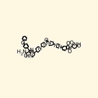 NC(=O)c1c(-c2ccc(Oc3ccccc3)cc2)nn2c1NCCC2C1CCN(C2CCN(C(=O)N3CCC(N4CCN(c5ccc6c(c5)C(=O)N(C5CCC(=O)NC5=O)C6=O)CC4)CC3)CC2)CC1